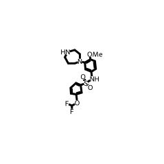 COc1ccc(NS(=O)(=O)c2cccc(OC(F)F)c2)cc1N1CCCNCC1